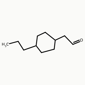 CCCC1CCC(CC=O)CC1